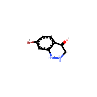 O=C1[CH]NNc2cc(Br)ccc21